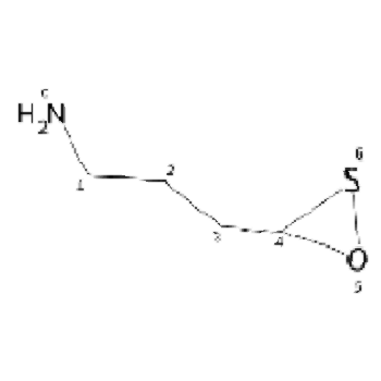 NCCCC1OS1